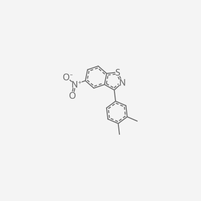 Cc1ccc(-c2nsc3ccc([N+](=O)[O-])cc23)cc1C